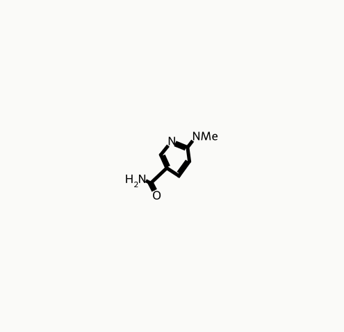 CNc1ccc(C(N)=O)cn1